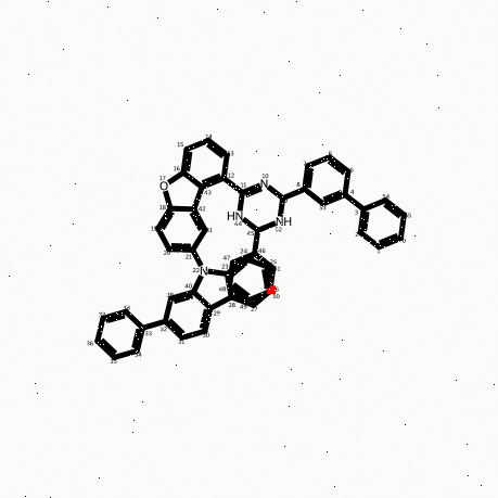 c1ccc(-c2cccc(C3N=C(c4cccc5oc6ccc(-n7c8ccccc8c8ccc(-c9ccccc9)cc87)cc6c45)NC(c4ccccc4)N3)c2)cc1